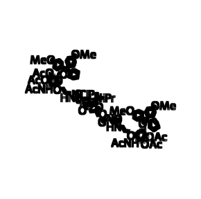 COc1ccc(C(OC[C@H]2C[C@@H](OCCCNC(=O)CNC(=O)OCC(COC(=O)NCC(=O)NCCCO[C@@H]3O[C@H](COC(c4ccccc4)(c4ccc(OC)cc4)c4ccc(OC)cc4)[C@H](OC(C)=O)[C@H](OC(C)=O)[C@H]3NC(C)=O)OP(OCCC#N)N(C(C)C)C(C)C)[C@H](NC(C)=O)[C@@H](OC(C)=O)[C@H]2OC(C)=O)(c2ccccc2)c2ccc(OC)cc2)cc1